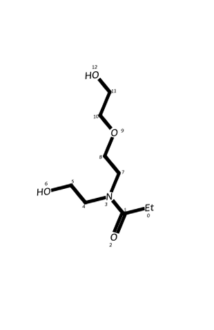 CCC(=O)N(CCO)CCOCCO